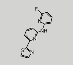 Fc1cccc(Nc2cccc(-c3nccs3)n2)n1